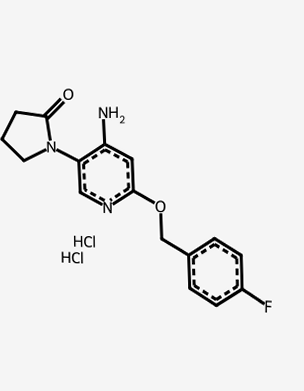 Cl.Cl.Nc1cc(OCc2ccc(F)cc2)ncc1N1CCCC1=O